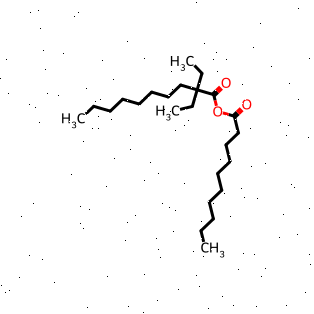 CCCCCCCCCC(=O)OC(=O)C(CC)(CC)CCCCCCCC